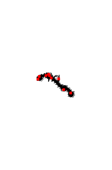 Cl.Cl.c1ccc(CCCC2CCN(CCCCCCCCCCCCN3CCC(CCCc4ccccc4)CC3)CC2)cc1